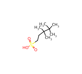 CC(C)(C)C(C)(C)CCS(=O)(=O)O